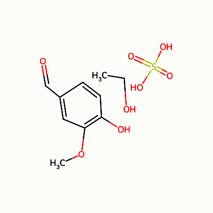 CCO.COc1cc(C=O)ccc1O.O=S(=O)(O)O